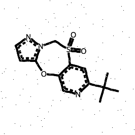 CC(C)(C)c1cc2c(cn1)Oc1ccnn1CS2(=O)=O